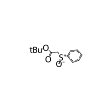 CC(C)(C)OC(=O)C[S@+]([O-])c1ccccc1